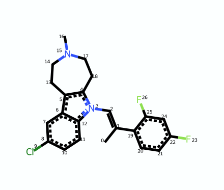 C/C(=C\n1c2c(c3cc(Cl)ccc31)CCN(C)CC2)c1ccc(F)cc1F